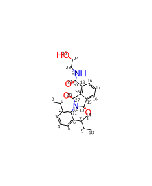 CCc1cccc(C(C)CC)c1N1C(=O)c2cccc(C(=O)NCCO)c2C1=O